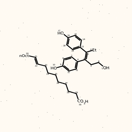 CCC(=C(CCO)c1ccc(O)cc1)c1ccc(O)cc1.CCCCCCCCC=CCCCCCCCC(=O)O